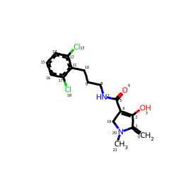 C=C1C(O)=C(C(=O)NCCCc2c(Cl)cccc2Cl)CN1C